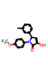 Cc1cccc(C2C=C(O)C(=O)N2c2ccc(OC(F)(F)F)cc2)c1